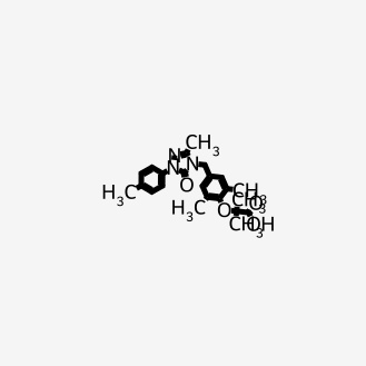 Cc1ccc(-n2nc(C)n(Cc3cc(C)c(OC(C)(C)C(=O)O)c(C)c3)c2=O)cc1